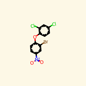 O=[N+]([O-])c1ccc(Oc2ccc(Cl)cc2Cl)c(Br)c1